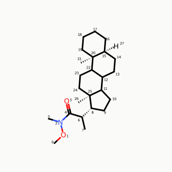 CON(C)C(=O)C(C)[C@H]1CCC2C3CC[C@@H]4CCCC[C@]4(C)C3CC[C@@]21C